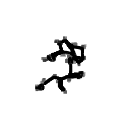 C=C(CO)C(=O)OC1C2CC3C(=O)OC1C3C2